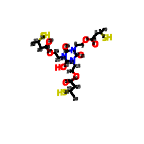 CC(S)CC(=O)OCCN1C(=O)N(CCOC(=O)CC(C)S)C(O)N(CCOC(=O)CC(C)S)C1=O